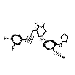 COc1ccc([C@H]2CNC(=O)[C@H](CNc3ccc(F)c(F)c3)C2)cc1OC1CCCC1